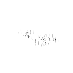 CC1(C)Cc2c(sc(NC(=O)c3ccc(NC4CCN(C(=O)OC(C)(C)C)CC4)cc3)c2C(=O)O)C(C)(C)C1